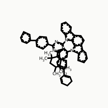 CC1CC(C)(C)c2ccc(-n3c4ccccc4c4ccc5c6ccccc6n(-c6nc(-c7ccc(C8=CCCC=C8)cc7)nc(-c7ccc(-c8ccccc8)cc7)n6)c5c43)cc2C1(C)C